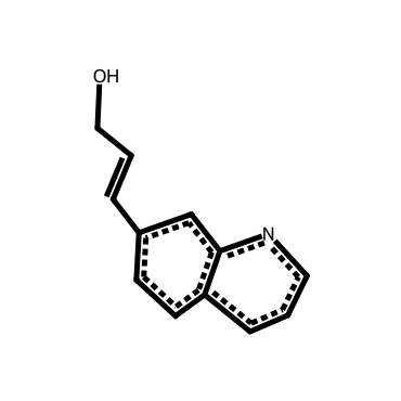 OCC=Cc1ccc2cccnc2c1